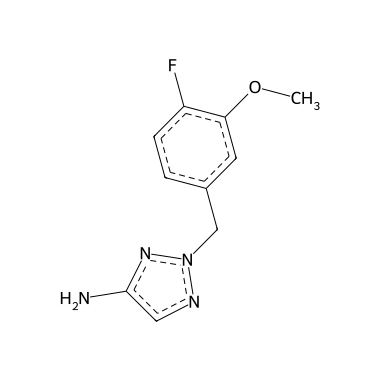 COc1cc(Cn2ncc(N)n2)ccc1F